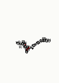 CC(C)(C)OC(=O)Nc1cc(Cl)c(C(F)(F)F)c(-c2ncc3c(N4CC5CCC(C4)N5C(=O)OC(C)(C)C)nc(OCC4(CN5CCC6(CC5)CC(N5CCN(c7ccc8c(c7)CN([C@H]7CCC(=O)NC7=O)C8=O)CC5)C6)CC4)nc3c2F)c1